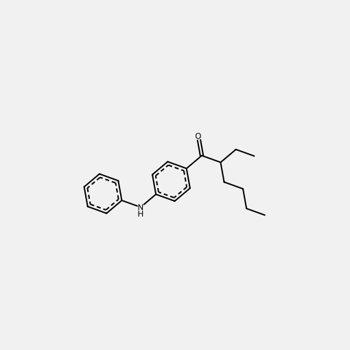 CCCCC(CC)C(=O)c1ccc(Nc2ccccc2)cc1